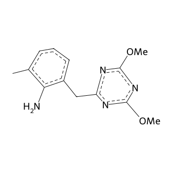 COc1nc(Cc2cccc(C)c2N)nc(OC)n1